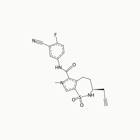 C#CC[C@@H]1CCc2c(cn(C)c2C(=O)Nc2ccc(F)c(C#N)c2)S(=O)(=O)N1